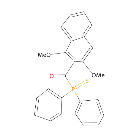 COc1cc2ccccc2c(OC)c1C(=O)P(=S)(c1ccccc1)c1ccccc1